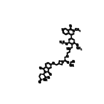 COc1cc(-c2cn(C)c(=O)c3cnccc23)cc(OC)c1CNCCOCC(=O)N1CC(COc2ccc3c(c2)C(=O)N(C2CCC(=O)NC2=O)C3=O)C1.O=CO